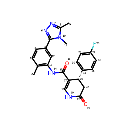 Cc1ccc(-c2nnc(C)n2C)cc1NC(=O)C1=CNC(=O)C[C@H]1c1ccc(F)cc1